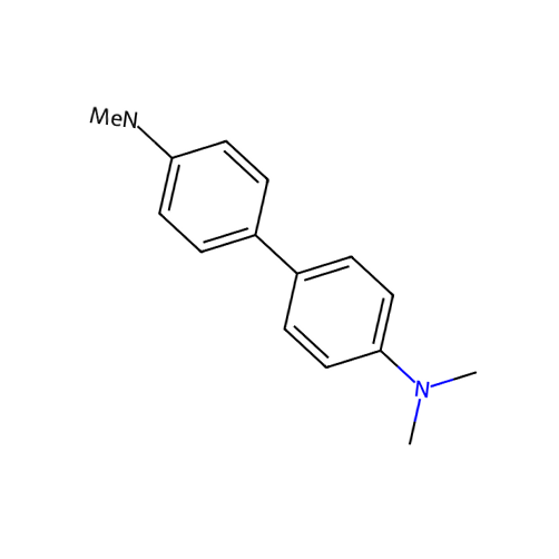 CNc1ccc(-c2ccc(N(C)C)cc2)cc1